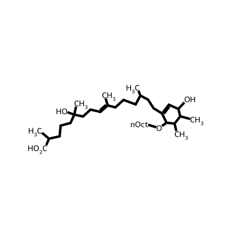 CCCCCCCCOC1C(CCC(C)CCC/C(C)=C/CCC(C)(O)CCCC(C)C(=O)O)=CC(O)C(C)C1C